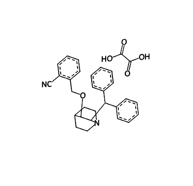 N#Cc1ccccc1COC1C2CCN(CC2)C1C(c1ccccc1)c1ccccc1.O=C(O)C(=O)O